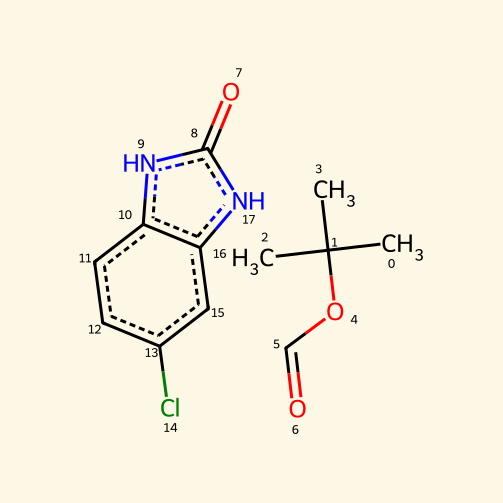 CC(C)(C)OC=O.O=c1[nH]c2ccc(Cl)cc2[nH]1